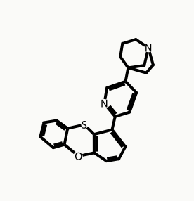 c1ccc2c(c1)Oc1cccc(-c3ccc(C45CCCN(CC4)C5)cn3)c1S2